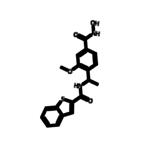 COc1cc(C(=O)NO)ccc1C(C)NC(=O)c1cc2ccccc2s1